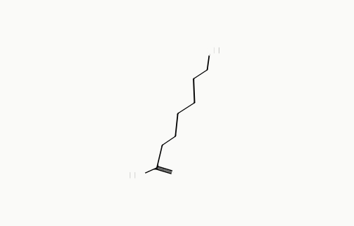 C[CH]CCCCCC(=O)O